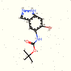 CC(C)(C)OC(=O)Nc1cc2cn[nH]c2cc1Br